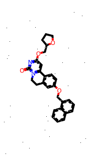 O=c1nc(OCC2CCCO2)cc2n1CCc1cc(OCc3cccc4ccccc34)ccc1-2